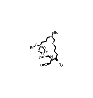 CCCCN(CCC[Si](OCC)(OCC)OCC)CSCCCC(=C=O)[SiH](C=C=O)C=C=O